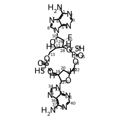 Nc1ncnc2c1ncn2[C@@H]1O[C@@H]2CO[P@@](=O)(S)O[C@@H]3C[C@@H](CO[P@@](=O)(S)O[C@H]2[C@H]1F)O[C@H]3n1cnc2c(N)ncnc21